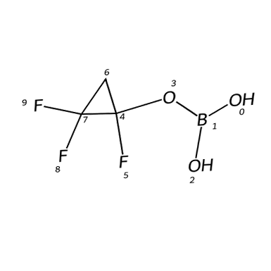 OB(O)OC1(F)CC1(F)F